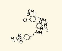 COc1cc(CN)c(-c2cc(NCCc3ccc(S(N)(=O)=O)cc3)nc(N)n2)cc1Cl